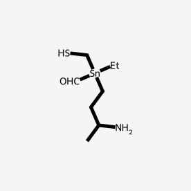 C[CH2][Sn]([CH]=O)([CH2]S)[CH2]CC(C)N